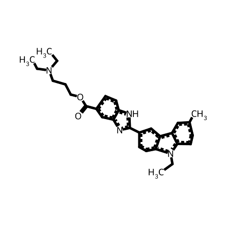 CCN(CC)CCCOC(=O)c1ccc2[nH]c(-c3ccc4c(c3)c3cc(C)ccc3n4CC)nc2c1